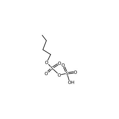 CCCCOS(=O)(=O)OS(=O)(=O)O